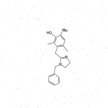 Cc1cc(C(C)(C)C)c(O)c(C)c1CC1=NCCN1Cc1ccccc1